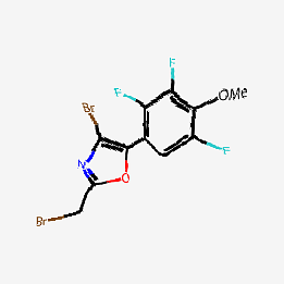 COc1c(F)cc(-c2oc(CBr)nc2Br)c(F)c1F